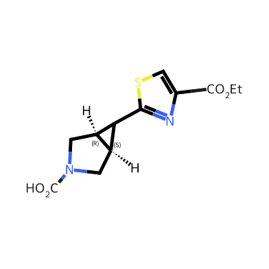 CCOC(=O)c1csc(C2[C@H]3CN(C(=O)O)C[C@@H]23)n1